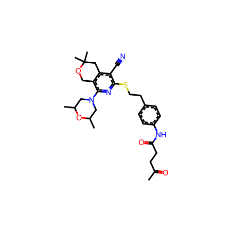 CC(=O)CCC(=O)Nc1ccc(CCSc2nc(N3CC(C)OC(C)C3)c3c(c2C#N)CC(C)(C)OC3)cc1